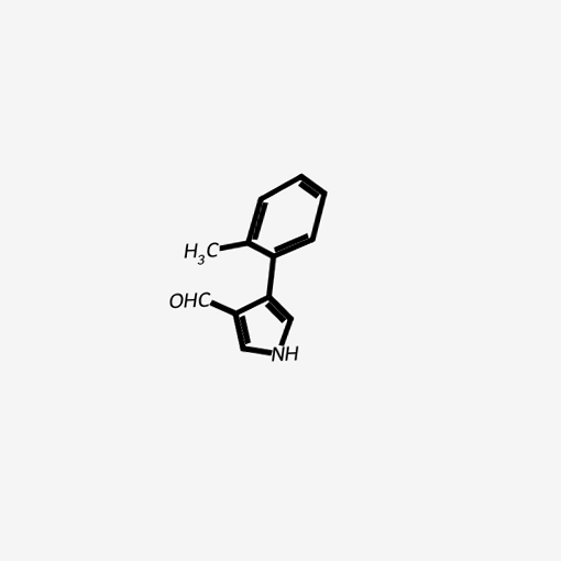 Cc1ccccc1-c1c[nH]cc1C=O